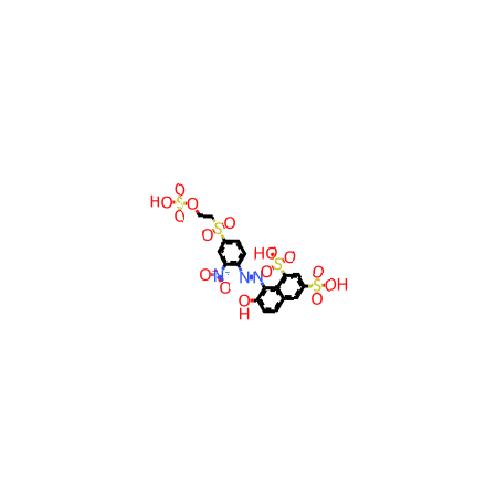 O=[N+]([O-])c1cc(S(=O)(=O)CCOS(=O)(=O)O)ccc1/N=N/c1c(O)ccc2cc(S(=O)(=O)O)cc(S(=O)(=O)O)c12